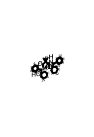 O=C(N[C@H](c1ccccc1)C1(O)CCCCC1)C1(C(=O)N[C@H](c2ccccc2)C2(O)CCCCC2)CC1